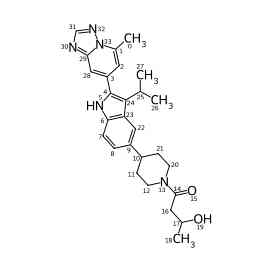 Cc1cc(-c2[nH]c3ccc(C4CCN(C(=O)CC(C)O)CC4)cc3c2C(C)C)cc2ncnn12